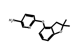 CC1(C)Cc2c(Oc3ccc(N)cn3)cccc2O1